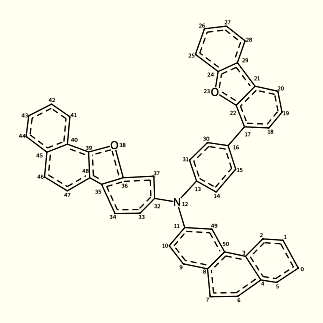 c1ccc2c(c1)ccc1ccc(N(c3ccc(-c4cccc5c4oc4ccccc45)cc3)c3ccc4c(c3)oc3c5ccccc5ccc43)cc12